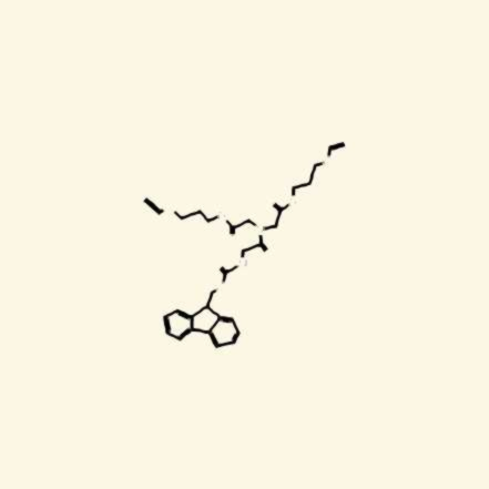 C=COCCCNC(=O)CN(CC(=O)NCCCOC=C)C(=O)CNC(=O)OCC1c2ccccc2-c2ccccc21